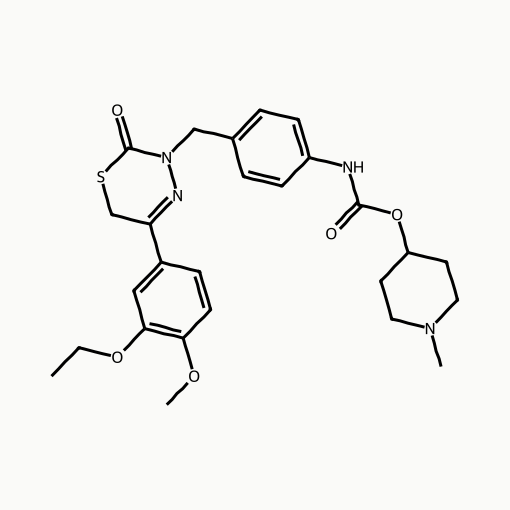 CCOc1cc(C2=NN(Cc3ccc(NC(=O)OC4CCN(C)CC4)cc3)C(=O)SC2)ccc1OC